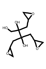 OCC(O)(CC1CO1)C(O)(CC1CO1)CC1CO1